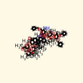 CCC1O[C@@H](OC2[C@H](O[C@H]3CCC4(C)C5CC=C6C7CC(C)(C)CC[C@]7(C(=O)N[C@H]7OC(COCc8ccccc8)[C@H](N)C(C)C7O[C@@H]7OC(C)[C@H](O[C@@H]8OC[C@@H](OCc9ccccc9)C(OCc9ccccc9)C8C)C8OC(C)(C)OC87)C(OC)C[C@@]6(C)[C@@]5(C)CC[C@H]4[C@@]3(C)C=O)OC(C(C)=O)[C@@H](C)[C@@H]2O[C@@H]2OC[C@@H](C)[C@@H](C)C2C)C(O[Si](CC)(CC)CC)[C@@H](C)[C@@H]1C